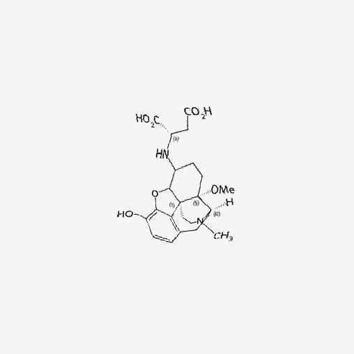 CO[C@@]12CCC(N[C@@H](CC(=O)O)C(=O)O)C3Oc4c(O)ccc5c4[C@@]31CCN(C)[C@@H]2C5